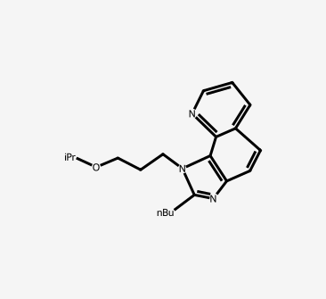 CCCCc1nc2ccc3cccnc3c2n1CCCOC(C)C